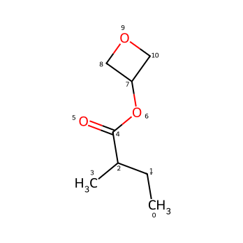 C[CH]C(C)C(=O)OC1COC1